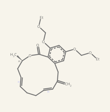 C=C1/C=C/CC/C=C/C[C@@H](C)OC(=O)c2c(cc(OCOCC)cc2OCOCC)C1